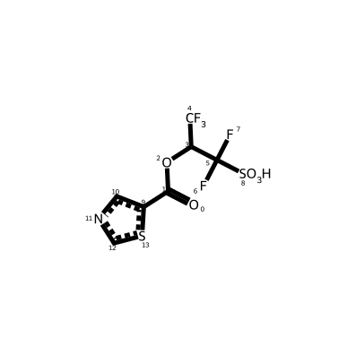 O=C(OC(C(F)(F)F)C(F)(F)S(=O)(=O)O)c1cncs1